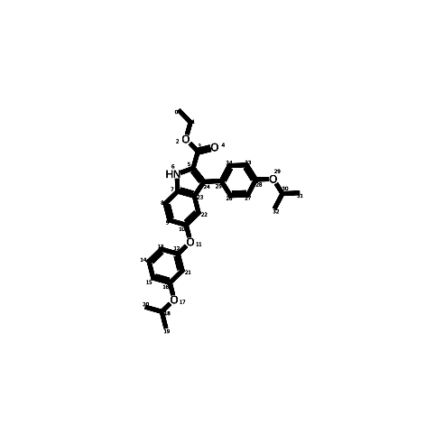 CCOC(=O)c1[nH]c2ccc(Oc3cccc(OC(C)C)c3)cc2c1-c1ccc(OC(C)C)cc1